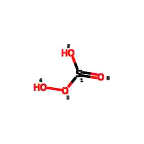 O=[Si](O)OO